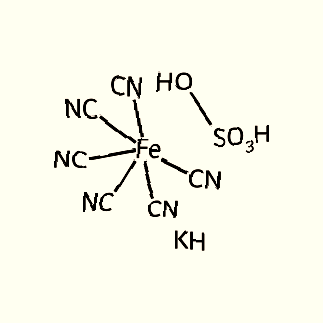 N#[C][Fe]([C]#N)([C]#N)([C]#N)([C]#N)[C]#N.O=S(=O)(O)O.[KH]